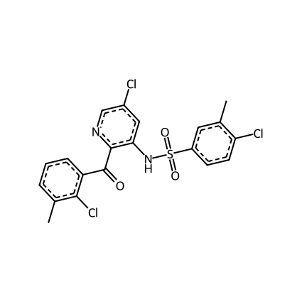 Cc1cc(S(=O)(=O)Nc2cc(Cl)cnc2C(=O)c2cccc(C)c2Cl)ccc1Cl